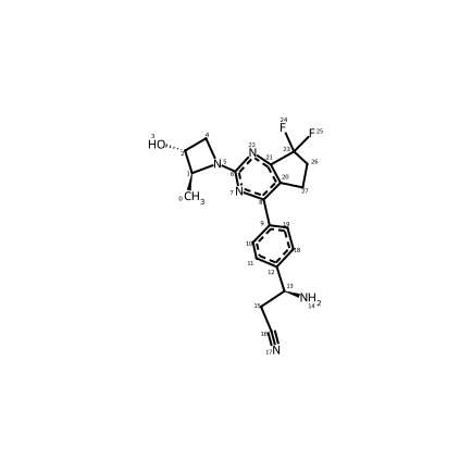 C[C@H]1[C@H](O)CN1c1nc(-c2ccc([C@@H](N)CC#N)cc2)c2c(n1)C(F)(F)CC2